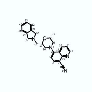 C[C@@H]1CN(c2ccc(C#N)c3ncccc23)C[C@H](CN2Cc3ccccc3C2)O1